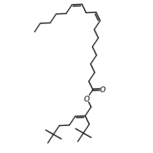 CCCCC/C=C\C/C=C\CCCCCCCC(=O)OCC(=CCCC(C)(C)C)CC(C)(C)C